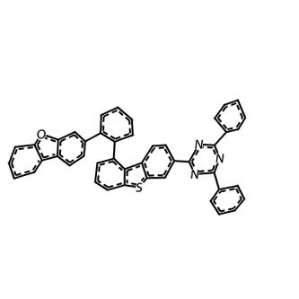 c1ccc(-c2nc(-c3ccccc3)nc(-c3ccc4c(c3)sc3cccc(-c5ccccc5-c5ccc6c(c5)oc5ccccc56)c34)n2)cc1